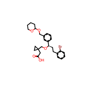 O=C(O)CC1(CO[C@H](CCc2ccccc2Br)c2cccc(COC3CCCCO3)c2)CC1